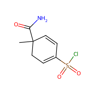 CC1(C(N)=O)C=CC(S(=O)(=O)Cl)=CC1